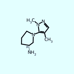 Cc1cnn(C)c1N1CCC[C@@H](N)C1